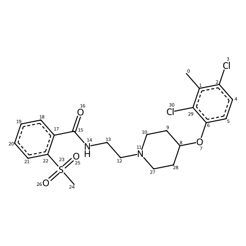 Cc1c(Cl)ccc(OC2CCN(CCNC(=O)c3ccccc3S(C)(=O)=O)CC2)c1Cl